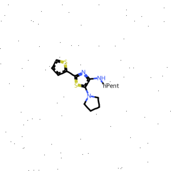 CCCCCNc1nc(-c2cccs2)sc1N1CCCC1